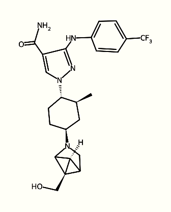 C[C@H]1C[C@@H](N2CC3[C@@H]4C2[C@@]34CO)CC[C@@H]1n1cc(C(N)=O)c(Nc2ccc(C(F)(F)F)cc2)n1